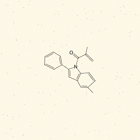 C=C(C)C(=O)n1c(-c2ccccc2)cc2cc(C)ccc21